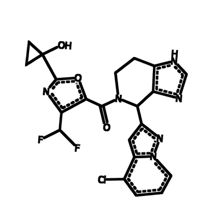 O=C(c1oc(C2(O)CC2)nc1C(F)F)N1CCc2[nH]cnc2C1c1cc2c(Cl)cccn2n1